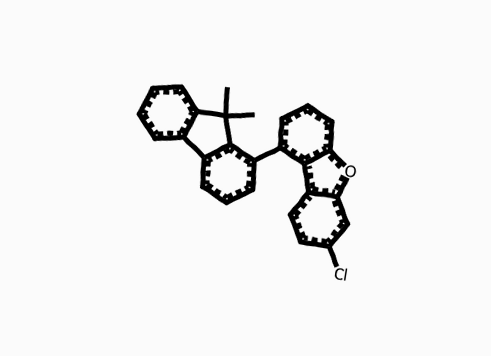 CC1(C)c2ccccc2-c2cccc(-c3cccc4oc5cc(Cl)ccc5c34)c21